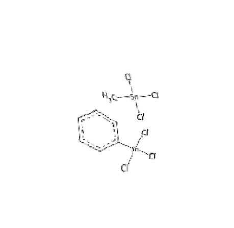 [CH3][Sn]([Cl])([Cl])[Cl].[Cl][Sn]([Cl])([Cl])[c]1ccccc1